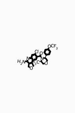 C[C@@H]1COC[C@H](c2ccc(OC(F)(F)F)cc2)N1C(=O)c1cc2c3c(c(N)nc2cc1Cl)COC3